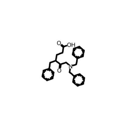 O=C(O)CCC(Cc1ccccc1)C(=O)CN(Cc1ccccc1)Cc1ccccc1